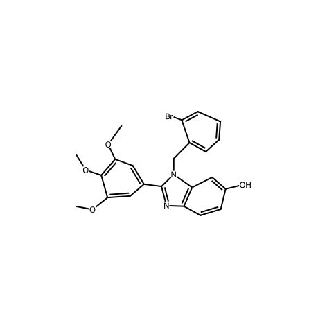 COc1cc(-c2nc3ccc(O)cc3n2Cc2ccccc2Br)cc(OC)c1OC